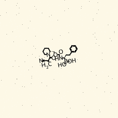 C=C(C#N)C(=O)N1CCCC[C@@H]1COC(=O)N[C@@H](CCc1ccccc1)B(O)O